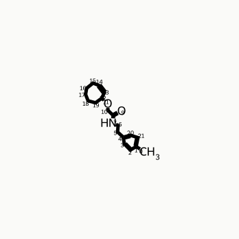 Cc1ccc(CCNC(=O)COC2C#CCCCCC2)cc1